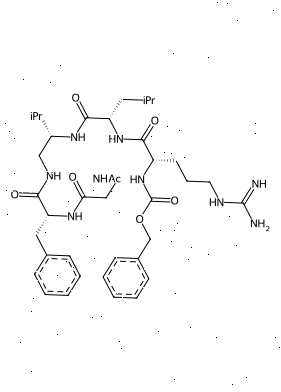 CC(=O)NCC(=O)N[C@H](Cc1ccccc1)C(=O)NC[C@@H](NC(=O)[C@H](CC(C)C)NC(=O)[C@H](CCCNC(=N)N)NC(=O)OCc1ccccc1)C(C)C